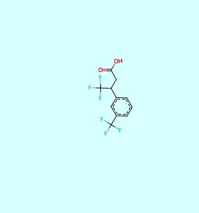 O=C(O)CC(c1cccc(C(F)(F)F)c1)C(F)(F)F